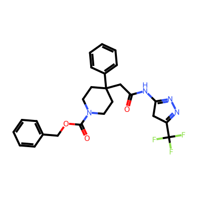 O=C(CC1(c2ccccc2)CCN(C(=O)OCc2ccccc2)CC1)NC1=NN=C(C(F)(F)F)C1